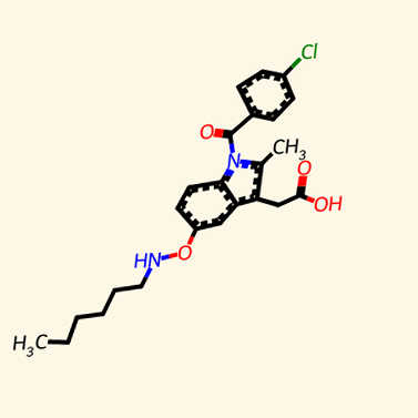 CCCCCCNOc1ccc2c(c1)c(CC(=O)O)c(C)n2C(=O)c1ccc(Cl)cc1